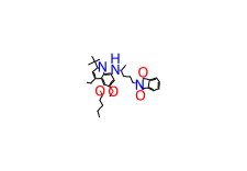 CCCCCOc1c(OC)cc(NC(C)CCCN2C(=O)c3ccccc3C2=O)c2nc(C(C)(C)C)cc(CC)c12